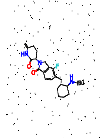 C=C1CCC(N2Cc3c(ccc(C[C@H]4CCCC[C@@H]4N[C@H](C)CC)c3F)C2=O)C(=O)N1